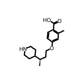 Cc1cc(OCC[C@@H](C)C2CCNCC2)ccc1C(=O)O